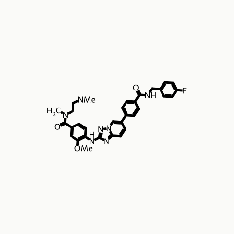 CNCCN(C)C(=O)c1ccc(Nc2nc3ccc(-c4ccc(C(=O)NCc5ccc(F)cc5)cc4)cn3n2)c(OC)c1